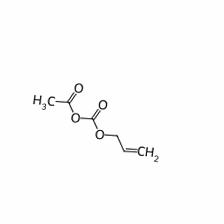 C=CCOC(=O)OC(C)=O